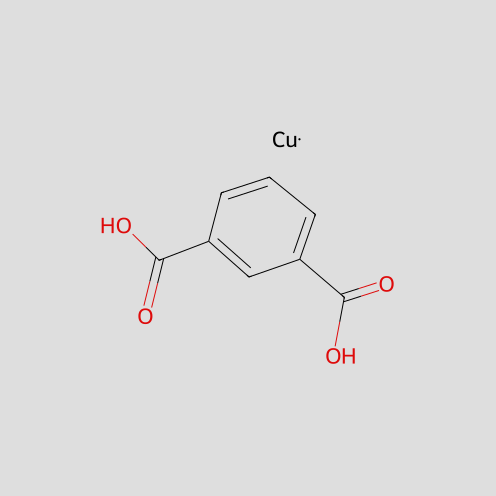 O=C(O)c1cccc(C(=O)O)c1.[Cu]